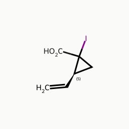 C=C[C@@H]1CC1(I)C(=O)O